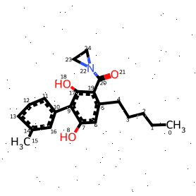 CCCCCc1cc(O)c(-c2cccc(C)c2)c(O)c1C(=O)N1CC1